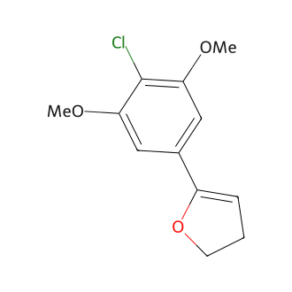 COc1cc(C2=CCCO2)cc(OC)c1Cl